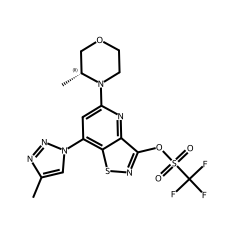 Cc1cn(-c2cc(N3CCOC[C@H]3C)nc3c(OS(=O)(=O)C(F)(F)F)nsc23)nn1